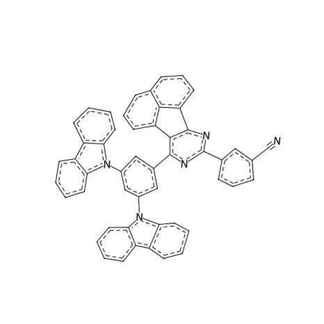 N#Cc1cccc(-c2nc(-c3cc(-n4c5ccccc5c5ccccc54)cc(-n4c5ccccc5c5ccccc54)c3)c3c(n2)-c2cccc4cccc-3c24)c1